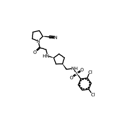 N#C[C@@H]1CCCN1C(=O)CN[C@H]1CC[C@@H](CNS(=O)(=O)c2ccc(Cl)cc2Cl)C1